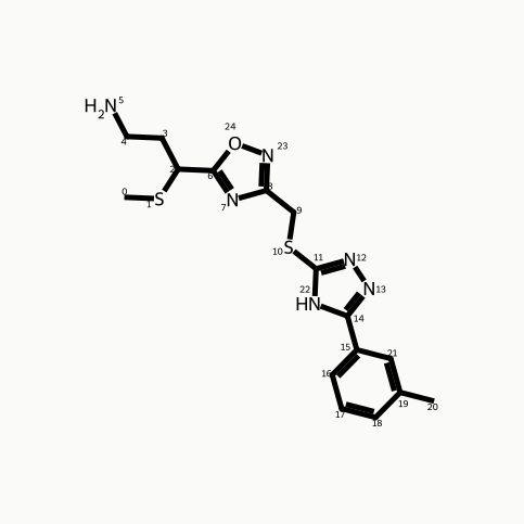 CSC(CCN)c1nc(CSc2nnc(-c3cccc(C)c3)[nH]2)no1